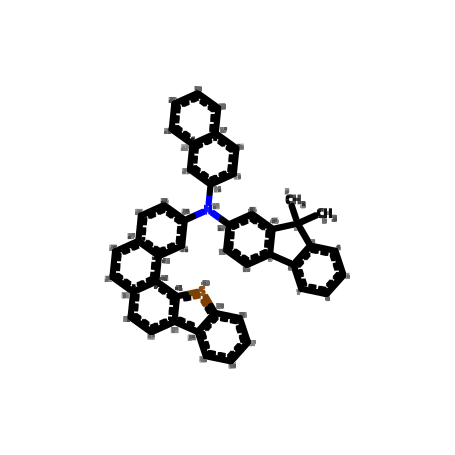 CC1(C)c2ccccc2-c2ccc(N(c3ccc4ccccc4c3)c3ccc4ccc5ccc6c7ccccc7sc6c5c4c3)cc21